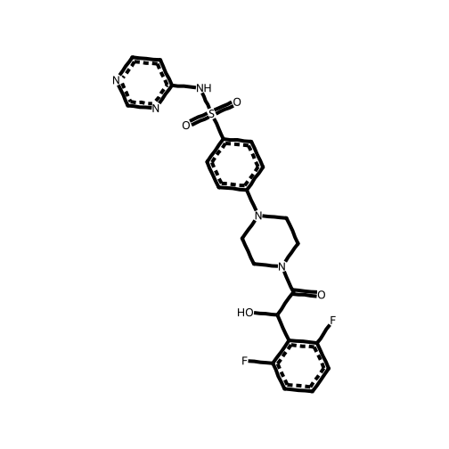 O=C(C(O)c1c(F)cccc1F)N1CCN(c2ccc(S(=O)(=O)Nc3ccncn3)cc2)CC1